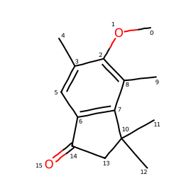 COc1c(C)cc2c(c1C)C(C)(C)CC2=O